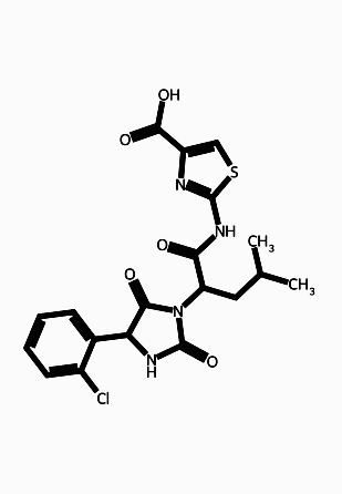 CC(C)CC(C(=O)Nc1nc(C(=O)O)cs1)N1C(=O)NC(c2ccccc2Cl)C1=O